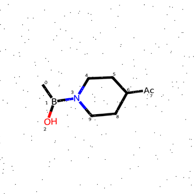 CB(O)N1CCC(C(C)=O)CC1